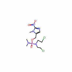 CN(C)P(=O)(OCc1cnc([N+](=O)[O-])n1C)N(CCCl)CCCl